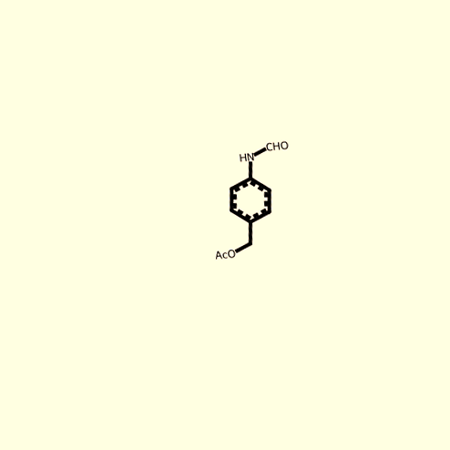 CC(=O)OCc1ccc(NC=O)cc1